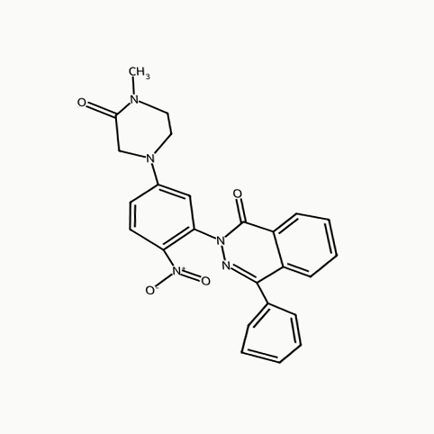 CN1CCN(c2ccc([N+](=O)[O-])c(-n3nc(-c4ccccc4)c4ccccc4c3=O)c2)CC1=O